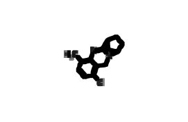 Cc1ccc(Cl)c2c1N=C1C3CCC(C3)N1C2